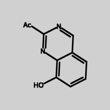 CC(=O)c1ncc2cccc(O)c2n1